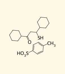 Cc1ccc(S(=O)(=O)O)cc1.O=C(CC(S)C1CCCCC1)C1CCCCC1